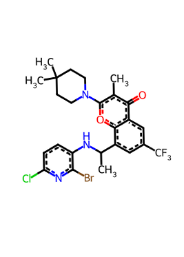 Cc1c(N2CCC(C)(C)CC2)oc2c(C(C)Nc3ccc(Cl)nc3Br)cc(C(F)(F)F)cc2c1=O